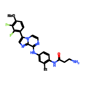 CCc1cc(Nc2nccn3c(-c4ccc(OC)c(F)c4F)cnc23)ccc1NC(=O)CCN